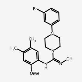 COc1cc(C)c(C)cc1NC(=NO)N1CCN(c2cccc(Br)c2)CC1